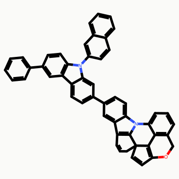 C1=Cc2c3n(c4ccc(-c5ccc6c7cc(-c8ccccc8)ccc7n(-c7ccc8ccccc8c7)c6c5)cc24)-c2cccc4c2C2=C(C=CC23C1)OC4